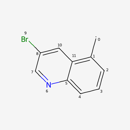 [CH2]c1cccc2ncc(Br)cc12